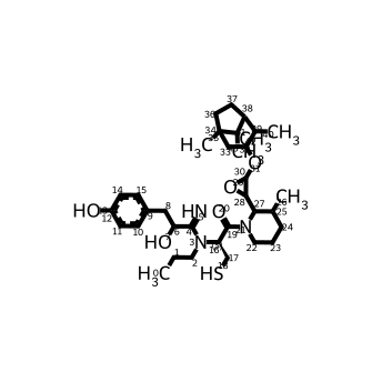 CCCN(C(=N)C(O)Cc1ccc(O)cc1)[C@H](CS)C(=O)N1CCCC(C)C1C1OC1OC1CC2(C)CCC(C1C)C2(C)C